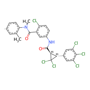 Cc1c[c]ccc1N(C)C(=O)c1cc(NC(=O)[C@H]2[C@H](c3cc(Cl)c(Cl)c(Cl)c3)C2(Cl)Cl)ccc1Cl